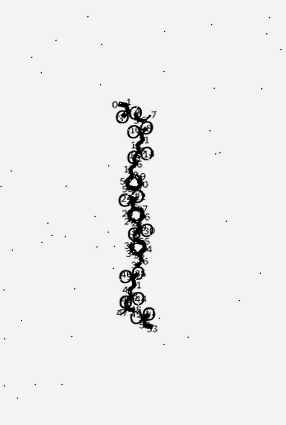 C=CC(=O)OC[C@@H](C)OC(=O)CCC(=O)OCCc1ccc(OC(=O)C2CCC(C(=O)Oc3ccc(CCOC(=O)CCC(=O)O[C@H](C)COC(=O)C=C)cc3)CC2)cc1